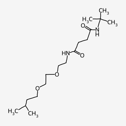 CC(C)CCOCCOCCNC(=O)CCC(=O)NC(C)(C)C